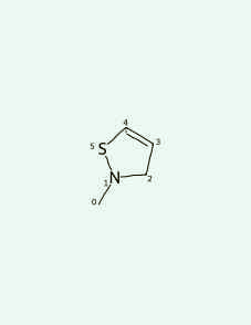 CN1CC=[C]S1